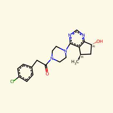 C[C@@H]1C[C@@H](O)c2ncnc(N3CCN(C(=O)Cc4ccc(Cl)cc4)CC3)c21